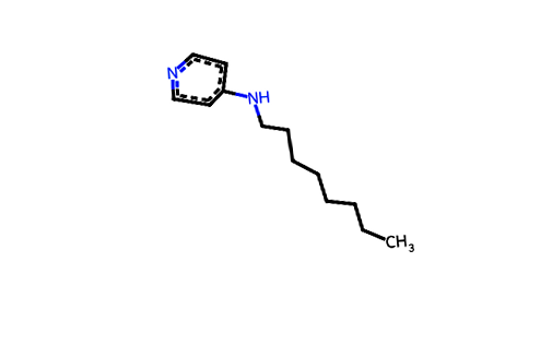 CCCCCCCCNc1ccncc1